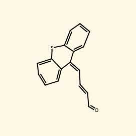 O=C/C=C/C=C1c2ccccc2Sc2ccccc21